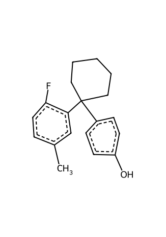 Cc1ccc(F)c(C2(c3ccc(O)cc3)CCCCC2)c1